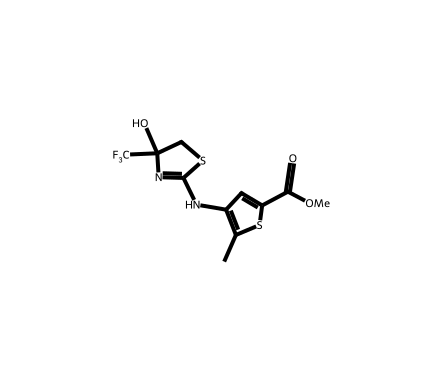 COC(=O)c1cc(NC2=NC(O)(C(F)(F)F)CS2)c(C)s1